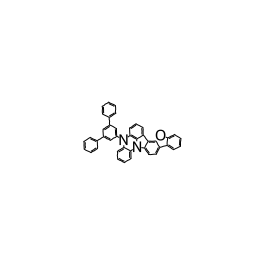 c1ccc(-c2cc(-c3ccccc3)cc(N3c4ccccc4-n4c5ccc6c7ccccc7oc6c5c5cccc3c54)c2)cc1